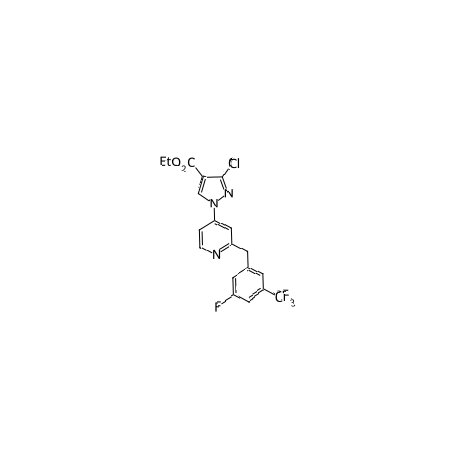 CCOC(=O)c1cn(-c2ccnc(Cc3cc(F)cc(C(F)(F)F)c3)c2)nc1Cl